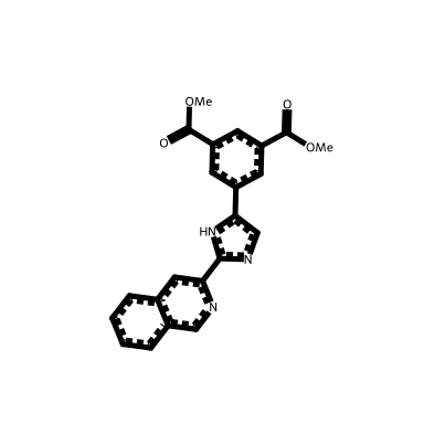 COC(=O)c1cc(C(=O)OC)cc(-c2cnc(-c3cc4ccccc4cn3)[nH]2)c1